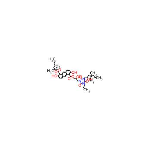 C=CCn1c(=O)n(CC(O)COC(=O)c2c(O)ccc3cc4c(C(=O)OC(C)(C)CCCCC)c(O)ccc4cc23)c(=O)n(CC(O)CC(C)(C)CCC)c1=O